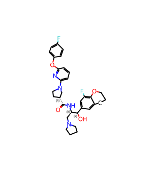 O=C(N[C@H](CN1CCCC1)[C@H](O)c1cc(F)c2c(c1)CCCO2)[C@@H]1CCN(c2cccc(Oc3ccc(F)cc3)n2)C1